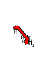 NC(=O)c1c(F)cccc1Nc1nc(NC2CCN([S+]([O-])CCNC(=O)CCOCCOCCOCCOCCOCCOCCOCCOCCNc3cccc4c3C(=O)N(C3CCC(=O)NC3=O)C4=O)CC2)ncc1Br